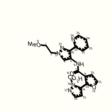 COCCn1cc(NC(=O)c2ccoc2-c2ccnn2C(=O)O)c(-c2ccccn2)n1